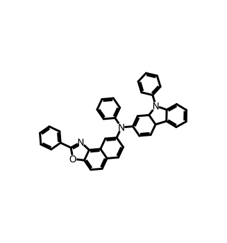 C1=CC2c3ccccc3N(c3ccccc3)C2C=C1N(c1ccccc1)c1ccc2ccc3oc(-c4ccccc4)nc3c2c1